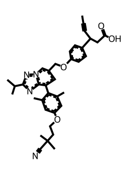 CC#CC(CC(=O)O)c1ccc(OCc2cc(-c3c(C)cc(OCCC(C)(C)C#N)cc3C)c3nc(C(C)C)nn3c2)cc1